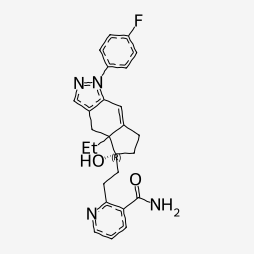 CCC12Cc3cnn(-c4ccc(F)cc4)c3C=C1CC[C@@]2(O)CCc1ncccc1C(N)=O